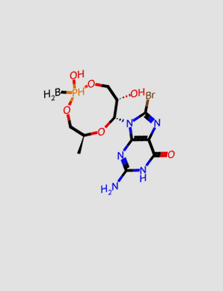 B[PH]1(O)OC[C@H](C)O[C@@H](n2c(Br)nc3c(=O)[nH]c(N)nc32)[C@@H](O)CO1